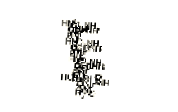 COc1ccc(NC(=O)[C@H](CCCNC(=N)N)NC(=O)c2cc(NC(=O)[C@H](CCCNC(=N)N)NC(=O)c3cc(NC(=O)[C@H](CCCNC(=N)N)NC(=O)c4cc(NC(C)=O)ccc4OC)ccc3OC)ccc2OCC(=O)O)cc1C(=O)N[C@@H](CCc1c[nH]c2ccccc12)C(N)=O